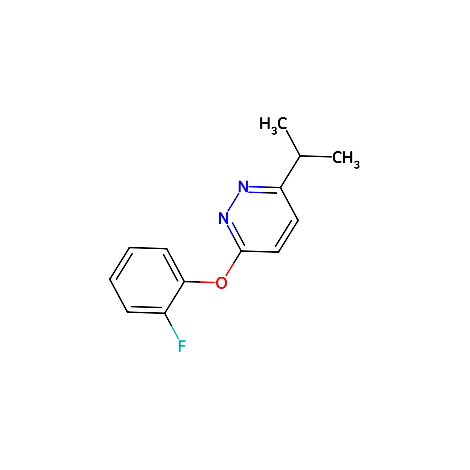 CC(C)c1ccc(Oc2ccccc2F)nn1